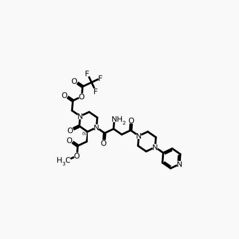 COC(=O)C[C@H]1C(=O)N(CC(=O)OC(=O)C(F)(F)F)CCN1C(=O)C(N)CC(=O)N1CCN(c2ccncc2)CC1